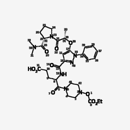 CCOC(=O)ON1CCN(C(=O)C(CCC(=O)O)NC(=O)c2cc(O[C@@H](C)C(=O)N3CCC[C@H]3C(=O)N(C)C)n(-c3ccccc3)n2)CC1